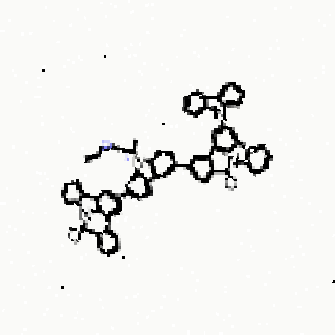 C=C/C=C\C=C(/C)n1c2ccc(-c3ccc4c(=O)n5c6ccccc6c6cc(-n7c8ccccc8c8ccccc87)cc(c4c3)c65)cc2c2ccc(-c3cc4c5ccccc5c(=O)n5c6ccccc6c(c3)c45)cc21